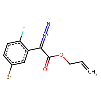 C=CCOC(=O)C(=[N+]=[N-])c1cc(Br)ccc1F